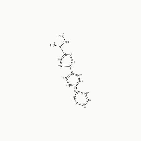 CCCNC(O)c1ccc(-c2nnc(-c3ncccn3)nn2)nc1